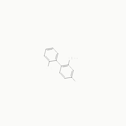 O=Cc1ccccc1-c1ccc(F)cc1C=O